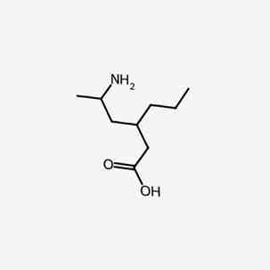 CCCC(CC(=O)O)CC(C)N